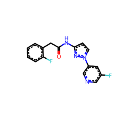 O=C(Cc1ccccc1F)Nc1ccn(-c2cncc(F)c2)n1